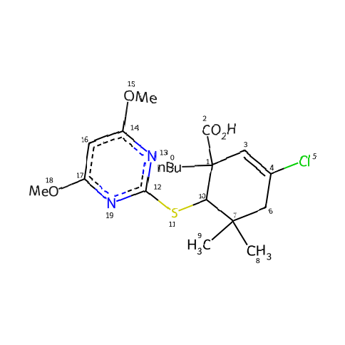 CCCCC1(C(=O)O)C=C(Cl)CC(C)(C)C1Sc1nc(OC)cc(OC)n1